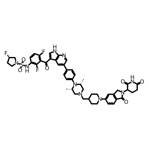 C[C@@H]1CN(CC2CCN(c3ccc4c(c3)CN(C3CCC(=O)NC3=O)C4=O)CC2)C[C@H](C)N1c1ccc(-c2cnc3[nH]cc(C(=O)c4c(F)ccc(NS(=O)(=O)N5CC[C@@H](F)C5)c4F)c3c2)cc1